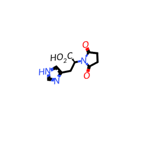 O=C(O)[C@H](Cc1c[nH]cn1)N1C(=O)CCC1=O